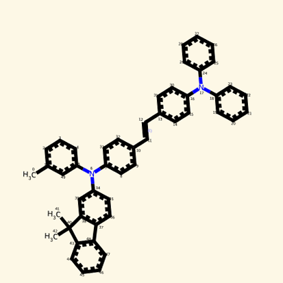 Cc1cccc(N(c2ccc(/C=C/c3ccc(N(c4ccccc4)c4ccccc4)cc3)cc2)c2ccc3c(c2)C(C)(C)c2ccccc2-3)c1